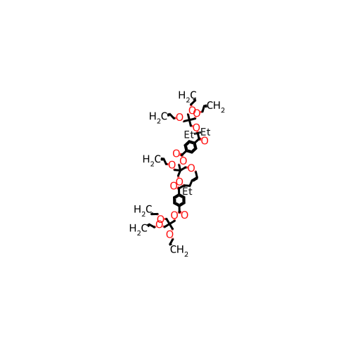 C=CCOCC(COCC=C)(COCC=C)COC(=O)c1ccc(C(=O)C2(CC)C/C=C/COCC(COCC=C)(COC(=O)c3ccc(C(=O)C(CC)(CC)OCC(COCC=C)(COCC=C)COCC=C)cc3)CO2)cc1